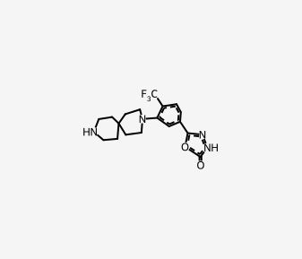 O=c1[nH]nc(-c2ccc(C(F)(F)F)c(N3CCC4(CCNCC4)CC3)c2)o1